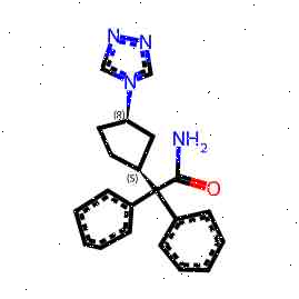 NC(=O)C(c1ccccc1)(c1ccccc1)[C@H]1CC[C@@H](n2cnnc2)C1